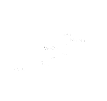 CCCCN(CCCC)c1ccc(C=Cc2ccc(C=CC=O)s2)c(OC)c1